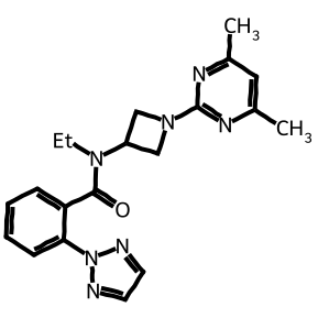 CCN(C(=O)c1ccccc1-n1nccn1)C1CN(c2nc(C)cc(C)n2)C1